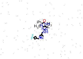 Cc1nc(NCc2cnn(CC3CC(F)(F)C3)c2)nc2c1NC(=O)[C@H](C(C)C)N2C